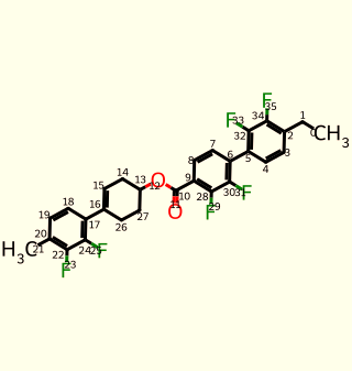 CCc1ccc(-c2ccc(C(=O)OC3CC=C(c4ccc(C)c(F)c4F)CC3)c(F)c2F)c(F)c1F